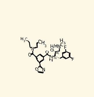 CCCN(CCC)C(=O)c1cc(C(=O)N[C@@H](Cc2cc(F)cc(F)c2)[C@H](O)CNC)cc(-c2ncco2)c1